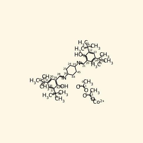 CC(=O)[O-].CC(=O)[O-].CC(C)(C)c1cc([Si](C)(C)C)cc(C=NC2CCC(N=Cc3cc([Si](C)(C)C)cc(C(C)(C)C)c3O)CC2)c1O.[Co+2]